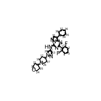 Fc1cccc(F)c1-c1nc(Nc2cnn(C3CCN(C4CCOCC4)CC3)c2)n2ncc(-c3ccccc3)c2n1